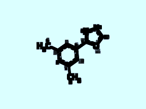 Cc1cc(C)cc(-c2nnco2)c1